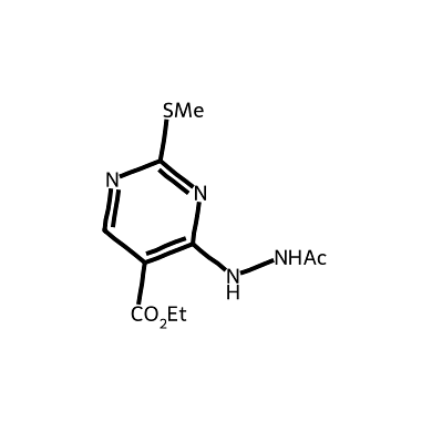 CCOC(=O)c1cnc(SC)nc1NNC(C)=O